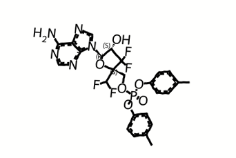 Cc1ccc(OP(=O)(OC[C@@]2(C(F)F)O[C@@H](n3cnc4c(N)ncnc43)[C@H](O)C2(F)F)Oc2ccc(C)cc2)cc1